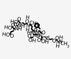 CNNC(=O)OCCSSC[C@@H](NC(=O)[C@@H](Cc1ccccc1)NC(=O)[C@H](CC(=O)O)NC(=O)CC[C@@H](C)NC(O)CC[C@H](NC(=O)N[C@@H](CCC(=O)O)C(=O)O)C(=O)O)C(=O)O